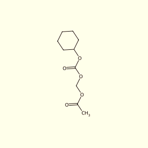 CC(=O)OCOC(=O)OC1CCCCC1